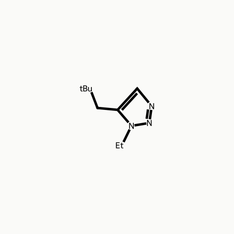 CCn1nncc1CC(C)(C)C